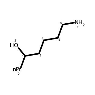 CCC[C](O)CCCCN